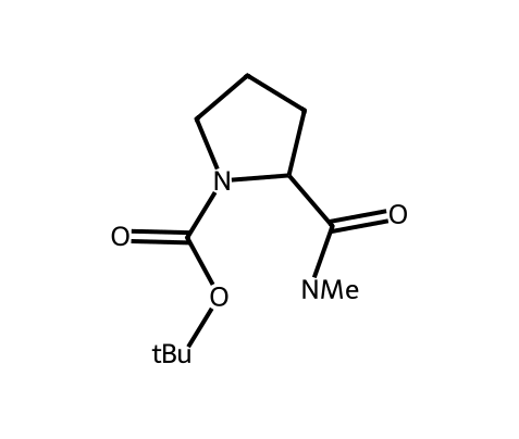 CNC(=O)C1CCCN1C(=O)OC(C)(C)C